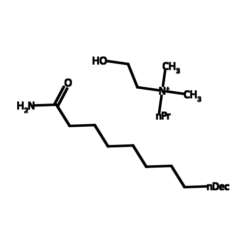 CCCCCCCCCCCCCCCCCC(N)=O.CCC[N+](C)(C)CCO